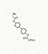 CCCCCC(=O)Oc1ccc(-c2ccc(OC(=O)CC(C)CC)cc2)cc1